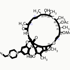 CO[C@H]1/C=C/O[C@@]2(C)Oc3c(C)c(O)c4c(=O)c(c5oc6cc(N7CCN(CC(C)C)CC7)cc(O)c6nc-5c4c3C2=O)NC(=O)/C(C)=C\C=C\[C@H](C)[C@H](O)[C@@H](C)C[C@@H](C)[C@H](OC(C)=O)[C@@H]1C